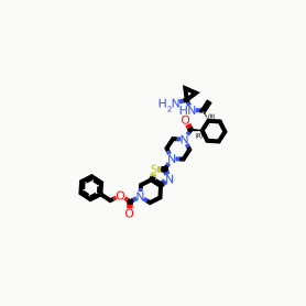 C=C(NC1(N)CC1)[C@@H]1CCCC[C@H]1C(=O)N1CCN(c2nc3c(s2)CN(C(=O)OCc2ccccc2)CC3)CC1